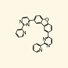 c1ccc(-c2nccc(-c3ccc4oc5ccc(-c6ccnc(-c7ccccn7)n6)cc5c4c3)n2)nc1